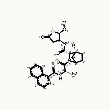 CCO[C@@H]1OC(=O)C[C@@H]1NC(=O)[C@@H]1[C@H]2CCC(C2)N1C(=O)[C@@H](NC(=O)c1nccc2ccccc12)C(C)(C)C